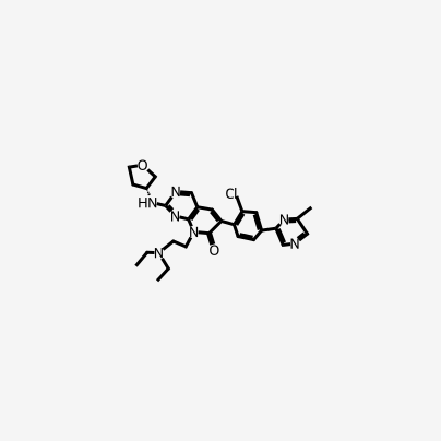 CCN(CC)CCn1c(=O)c(-c2ccc(-c3cncc(C)n3)cc2Cl)cc2cnc(N[C@@H]3CCOC3)nc21